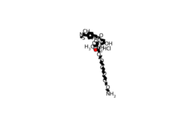 Cc1ncsc1-c1ccc(CNC(=O)[C@@H]2C[C@@H](O)CN2C(=O)[C@@H](NC(=O)COCCOCCOCCOCCOCCOCCN)C(C)(C)C)cc1.Cl